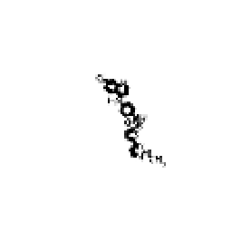 CSc1nccc(-c2ccc(S(=O)(=O)NC3CCC(Nc4ccnc5cc(Cl)ccc45)CC3)s2)n1